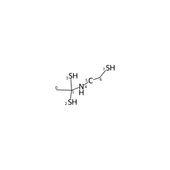 CC(S)(S)NCCS